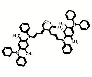 C=C/C(=C\C=C\N(C1=C(C)C=C(N(c2ccccc2)C2C=CC=CC2)C(C)C1)c1ccccc1)C(C=C)C/C=C/N(C1=C(C)C=C(N(C2=CCCC=C2)C2C=CC=CC2)C(C)C1)c1ccccc1